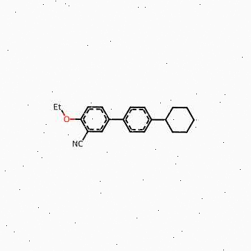 CCOc1ccc(-c2ccc(C3CC[CH]CC3)cc2)cc1C#N